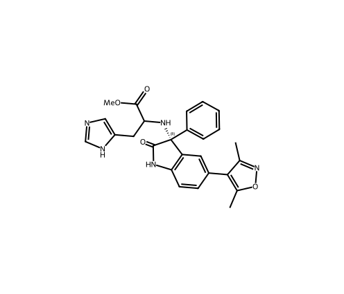 COC(=O)C(Cc1cnc[nH]1)N[C@@]1(c2ccccc2)C(=O)Nc2ccc(-c3c(C)noc3C)cc21